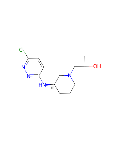 CC(C)(O)CN1CCC[C@@H](Nc2ccc(Cl)nn2)C1